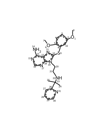 COc1ccc(OC)c(Sc2nc3c(N)ncnc3n2CCNC(C)(C)c2ccccn2)c1